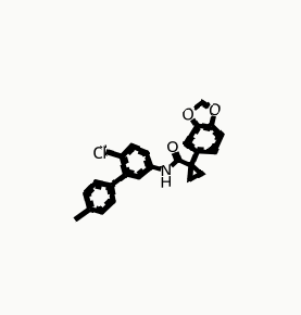 Cc1ccc(-c2cc(NC(=O)C3(c4ccc5c(c4)OCO5)CC3)ccc2Cl)cc1